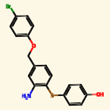 Nc1cc(COc2ccc(Br)cc2)ccc1Sc1ccc(O)cc1